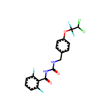 O=C(NCc1ccc(OC(F)(F)C(Cl)Cl)cc1)NC(=O)c1c(F)cccc1F